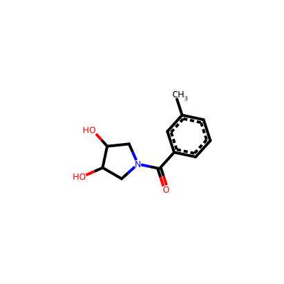 Cc1cccc(C(=O)N2CC(O)C(O)C2)c1